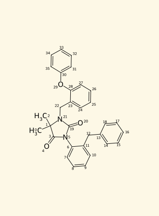 CC1(C)C(=O)N(c2ccccc2Cc2ccccc2)C(=O)N1Cc1ccccc1Oc1ccccc1